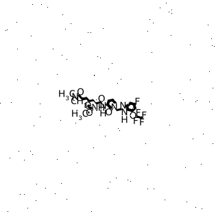 COC(=O)N[C@@H](CC/C=C/C(=O)N(C)C)C(=O)Nc1cccn(Cc2nc3cc(F)cc(OC(F)(F)C(F)F)c3[nH]2)c1=O